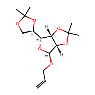 C=CCO[C@H]1O[C@H]([C@H]2COC(C)(C)O2)[C@@H]2OC(C)(C)O[C@H]12